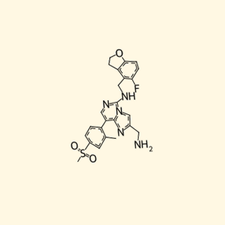 Cc1cc(S(C)(=O)=O)ccc1-c1cnc(NCc2c(F)ccc3c2CCO3)n2cc(CN)nc12